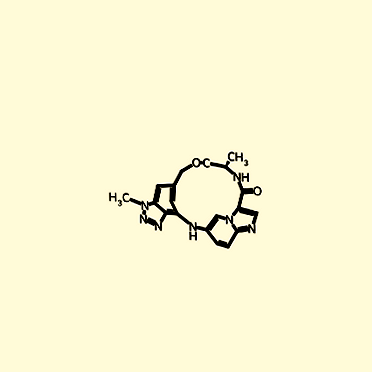 C[C@@H]1COCc2cc(c3nnn(C)c3c2)Nc2ccc3ncc(n3c2)C(=O)N1